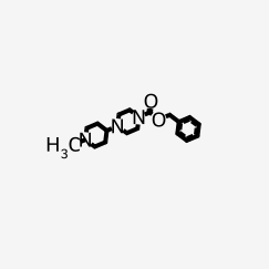 CN1CCC(N2CCN(C(=O)OCc3ccccc3)CC2)CC1